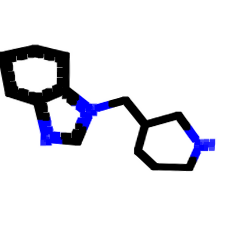 c1ccc2c(c1)ncn2CC1CCCNC1